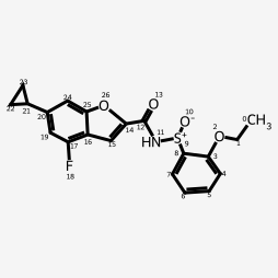 CCOc1ccccc1[S+]([O-])NC(=O)c1cc2c(F)cc(C3CC3)cc2o1